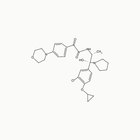 C[C@@H](NC(=O)C(=O)c1ccc(N2CCOCC2)cc1)[C@](O)(c1ccc(OC2CC2)c(Cl)c1)N1CCCC1